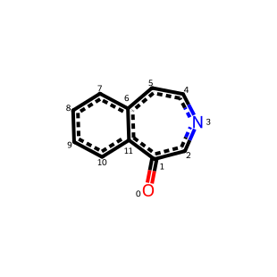 O=c1cnccc2ccccc12